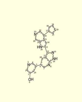 Oc1cncc(-c2cnc3[nH]nc(-c4cc5c(-c6ccsc6)cncc5[nH]4)c3c2)c1